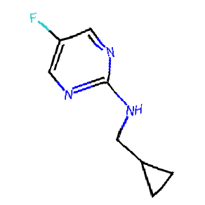 Fc1cnc(NCC2CC2)nc1